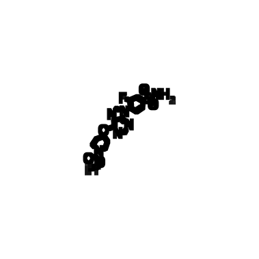 CC(C)OC(=O)N1CCC(Oc2ncnc3c2ncn3-c2ccc(S(N)(=O)=O)cc2F)CC1